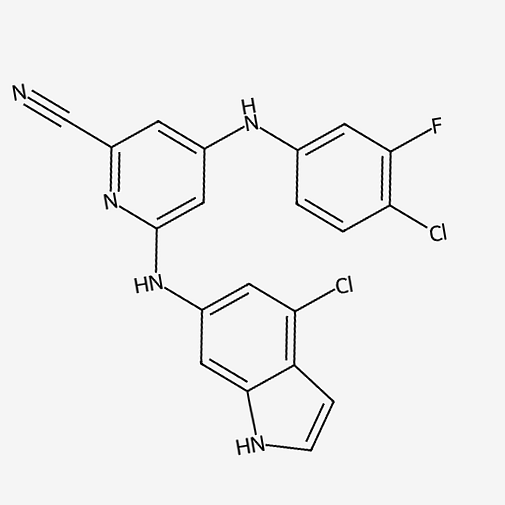 N#Cc1cc(Nc2ccc(Cl)c(F)c2)cc(Nc2cc(Cl)c3cc[nH]c3c2)n1